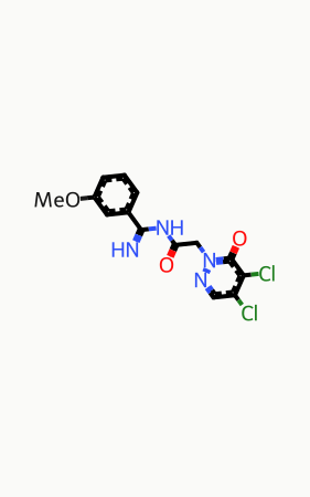 COc1cccc(C(=N)NC(=O)Cn2ncc(Cl)c(Cl)c2=O)c1